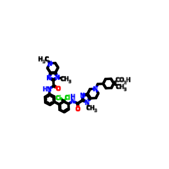 CN1CCc2c(nc(C(=O)Nc3cccc(C4=CC=CC(NC(=O)c5nc6c(n5C)CCN(CC5CCC(C)(C(=O)O)CC5)C6)C4(Cl)Cl)c3)n2C)C1